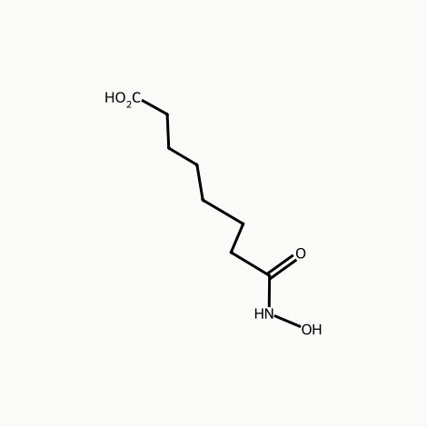 O=C(O)CCCCCCC(=O)NO